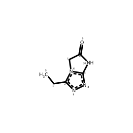 CCc1nnc2n1CC(=O)N2